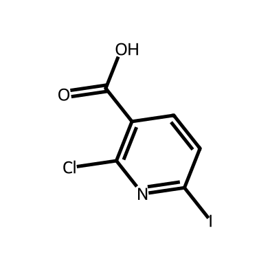 O=C(O)c1ccc(I)nc1Cl